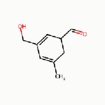 CC1=CC(CO)=CC(C=O)C1